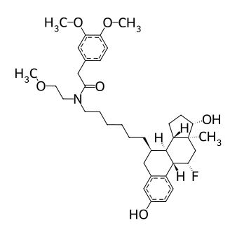 COCCN(CCCCCC[C@@H]1Cc2cc(O)ccc2[C@@H]2[C@@H]1[C@@H]1CC[C@H](O)[C@@]1(C)C[C@@H]2F)C(=O)Cc1ccc(OC)c(OC)c1